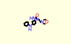 O=c1[nH]c2cc(Nc3ccccc3)ccc2n1CCN1CCOCC1